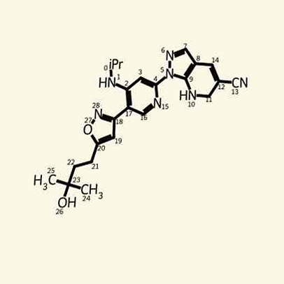 CC(C)Nc1cc(-n2ncc3c2NCC(C#N)=C3)ncc1-c1cc(CCC(C)(C)O)on1